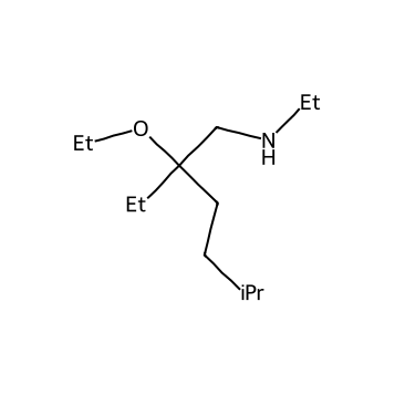 CCNCC(CC)(CCC(C)C)OCC